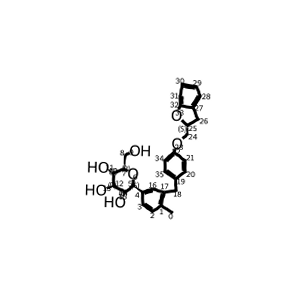 Cc1ccc([C@@H]2O[C@H](CO)[C@@H](O)[C@H](O)[C@H]2O)cc1Cc1ccc(OC[C@@H]2Cc3ccccc3O2)cc1